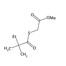 CCC(C)(C)C(=O)SCC(=O)OC